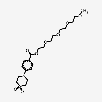 COCCOCCOCCOCCOC(=O)c1ccc(N2CCS(=O)(=O)CC2)cc1